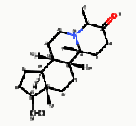 CC1C(=O)CC[C@]2(C)[C@@H]3CC[C@]4(C)C(C=O)CC[C@H]4[C@@H]3CCN12